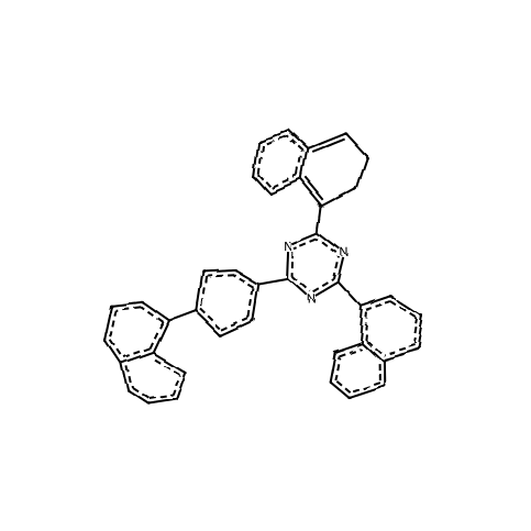 C1=c2ccccc2=C(c2nc(-c3ccc(-c4cccc5ccccc45)cc3)nc(-c3cccc4ccccc34)n2)CC1